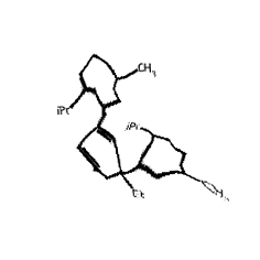 CCC1(C2CC(C)CCC2C(C)C)C=C(C2CC(C)CCC2C(C)C)C=CC1